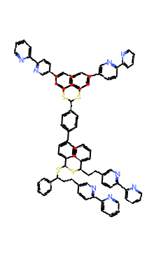 c1ccc(C(CCc2ccc(-c3ccccn3)nc2)SC(SC(CCc2ccc(-c3ccccn3)nc2)c2ccccc2)c2ccc(-c3ccc(C(SC(CCc4ccc(-c5ccccn5)nc4)c4ccccc4)SC(CCc4ccc(-c5ccccn5)nc4)c4ccccc4)cc3)cc2)cc1